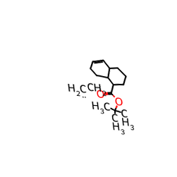 CC(C)(C)OC(=O)C1CCCC2C=CCCC21.[CH2].[CH2]